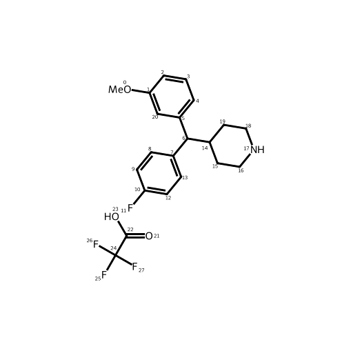 COc1cccc(C(c2ccc(F)cc2)C2CCNCC2)c1.O=C(O)C(F)(F)F